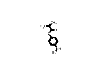 C=C(C)C(=O)Oc1ccc(NCC)cc1